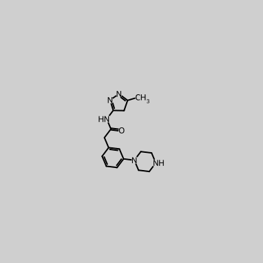 CC1=NN=C(NC(=O)Cc2cccc(N3CCNCC3)c2)C1